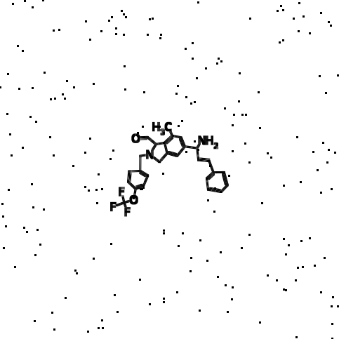 Cc1cc(C(N)C=Cc2ccccc2)cc2c1C(C=O)N(Cc1ccc(OC(F)(F)F)cc1)C2